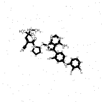 CNC(C)(C)/C=C(/C#N)C(=O)N1CCC[C@H]1Cn1nc(-c2ccc(Oc3cccc(F)c3F)cc2F)c2c(N)ncnc21